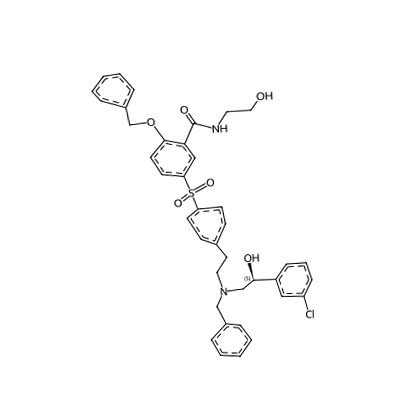 O=C(NCCO)c1cc(S(=O)(=O)c2ccc(CCN(Cc3ccccc3)C[C@@H](O)c3cccc(Cl)c3)cc2)ccc1OCc1ccccc1